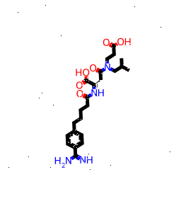 CC(C)CN(CCC(=O)O)C(=O)C[C@H](NC(=O)CCCCc1ccc(C(=N)N)cc1)C(=O)O